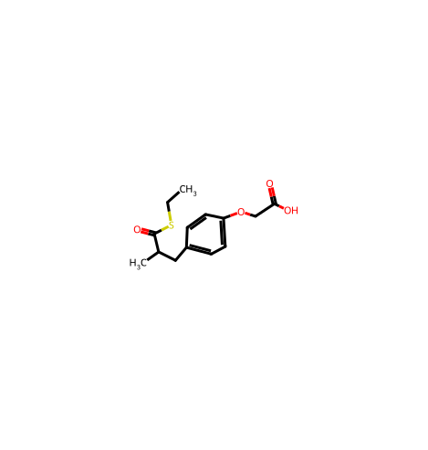 CCSC(=O)C(C)Cc1ccc(OCC(=O)O)cc1